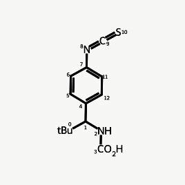 CC(C)(C)C(NC(=O)O)c1ccc(N=C=S)cc1